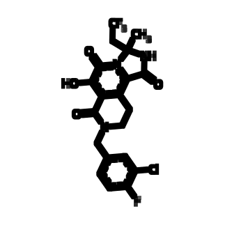 CC1(CC(F)(F)F)NC(=O)c2c3c(c(O)c(=O)n21)C(=O)N(Cc1ccc(F)c(Cl)c1)CC3